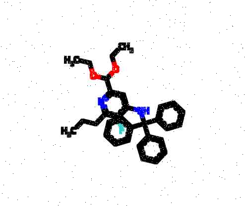 CCCc1nc(C(OCC)OCC)cc(NC(c2ccccc2)(c2ccccc2)c2ccccc2)c1F